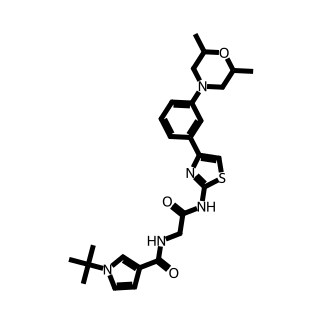 CC1CN(c2cccc(-c3csc(NC(=O)CNC(=O)c4ccn(C(C)(C)C)c4)n3)c2)CC(C)O1